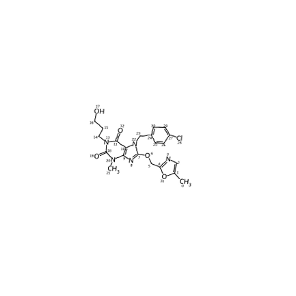 Cc1cnc(COc2nc3c(c(=O)n(CCCO)c(=O)n3C)n2Cc2ccc(Cl)cc2)o1